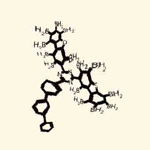 Bc1c(B)c(B)c2c(oc3c(B)c(-c4nc(-c5ccc(-c6cccc(-c7ccccc7)c6)cc5)nc(-c5c(B)c(B)c6sc7c(B)c(B)c(B)c(B)c7c6c5B)n4)c(B)c(B)c32)c1B